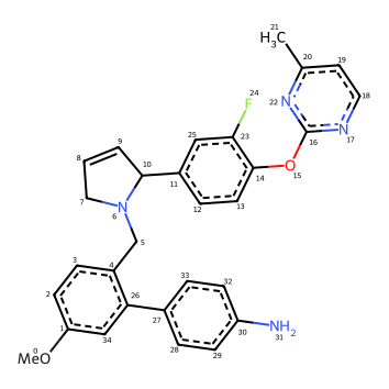 COc1ccc(CN2CC=CC2c2ccc(Oc3nccc(C)n3)c(F)c2)c(-c2ccc(N)cc2)c1